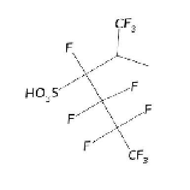 CC(C(F)(F)F)C(F)(C(F)(F)C(F)(F)C(F)(F)F)S(=O)(=O)O